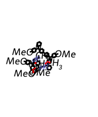 C\C=C/C(=C\C=C\N(c1ccc(OC)cc1)c1ccc(C(/C=C\C(C)N(c2ccc(OC)cc2)c2ccc(OC)cc2)=C/C)cc1)C1(c2ccc(N(c3ccc(OC)cc3)c3ccc(-c4ccc(N(c5ccccc5)c5ccc(OC)cc5)cc4)cc3)cc2)CCCCC1